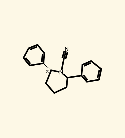 N#CN1C(c2ccccc2)CCC[C@@H]1c1ccccc1